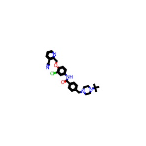 CC(C)(C)N1CCN(Cc2ccc(C(=O)Nc3ccc(OCc4ncccc4C#N)c(Cl)c3)cc2)CC1